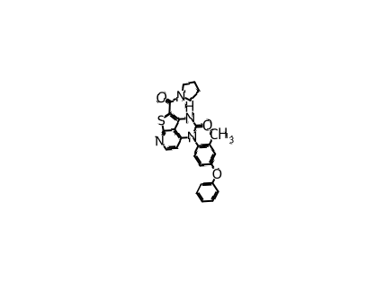 Cc1cc(Oc2ccccc2)ccc1N1C(=O)Nc2c(C(=O)N3CCCC3)sc3nccc1c23